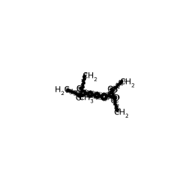 C=CCCCCCC(=O)C1=CC(c2ccc(-c3ccc(C4=CC=C(c5cc(C(=O)OCCCCC=C)cc(C(=O)OCCCCC=C)c5)C=CC4)cc3)cc2)=CC(C)(C(=O)OCCCCC=C)C1